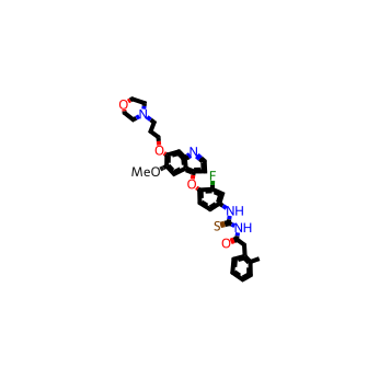 COc1cc2c(Oc3ccc(NC(=S)NC(=O)Cc4ccccc4C)cc3F)ccnc2cc1OCCCN1CCOCC1